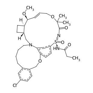 CCC(=O)N[S@]1(=O)=NC(=O)C(C)(C)OC/C=C/[C@H](OC)[C@@H]2CC[C@H]2CN2CCCCc3cc(Cl)ccc3COc3ccc1cc32